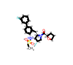 CCS(=O)(=O)N[C@H]1[C@@H](F)CN(C(=O)[C@H]2CCCO2)[C@H]1Cc1cccc(-c2cccc(F)c2)c1